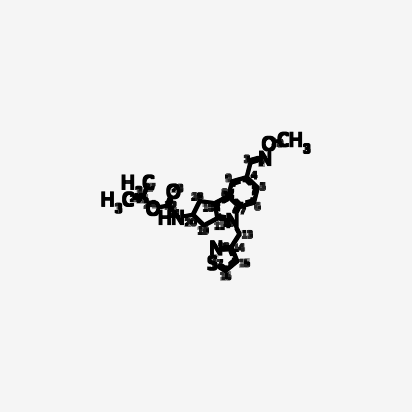 CON=Cc1ccc2c(c1)c1c(n2Cc2ccsn2)CC(NC(=O)OC(C)C)C1